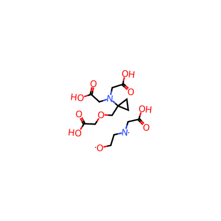 O=C(O)COCC1(N(CC(=O)O)CC(=O)O)CC1.[O]CC[N]CC(=O)O